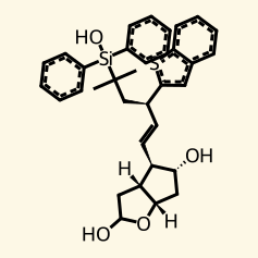 CC(C)(C[C@H](/C=C/[C@@H]1[C@H]2CC(O)O[C@H]2C[C@H]1O)c1cc2ccccc2s1)[Si](O)(c1ccccc1)c1ccccc1